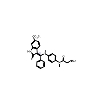 CCOC(=O)c1ccc2c(c1)NC(=O)/C2=C(/Nc1ccc(N(C)C(=O)CNC)cc1)c1ccccc1